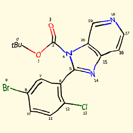 CC(C)(C)OC(=O)n1c(-c2cc(Br)ccc2Cl)nc2ccncc21